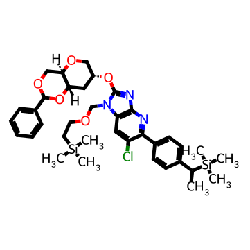 CC(c1ccc(-c2nc3nc(O[C@H]4CO[C@@H]5COC(c6ccccc6)O[C@H]5C4)n(COCC[Si](C)(C)C)c3cc2Cl)cc1)[Si](C)(C)C